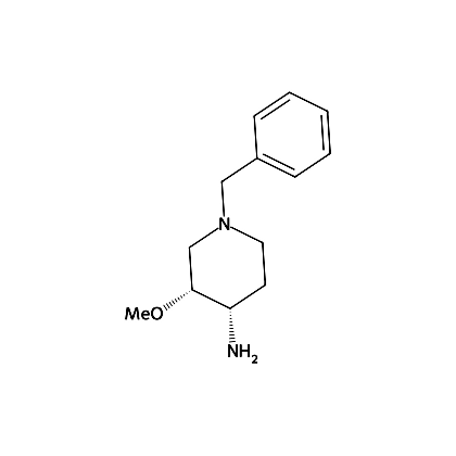 CO[C@@H]1CN(Cc2ccccc2)CC[C@@H]1N